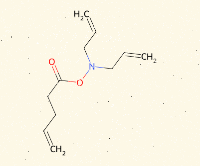 C=CCCC(=O)ON(CC=C)CC=C